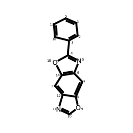 [c]1ccc(-c2nc3cc4o[c]nc4cc3o2)cc1